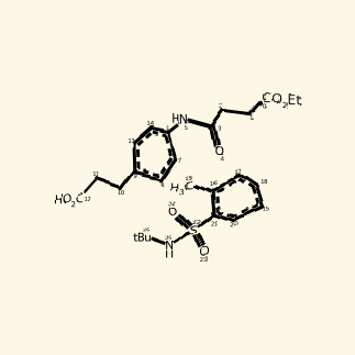 CCOC(=O)CCC(=O)Nc1ccc(CCC(=O)O)cc1.Cc1ccccc1S(=O)(=O)NC(C)(C)C